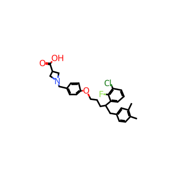 Cc1ccc(CC(CCCOc2ccc(CN3CC(C(=O)O)C3)cc2)c2cccc(Cl)c2F)cc1C